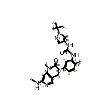 CNc1cc2c(cn1)CN(c1ccc(F)c(NC(=O)Nc3cnn(C(C)(C)C)c3)c1)C(=O)N2C